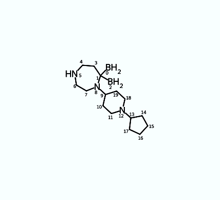 BC1(B)CCNCCN1C1CCN(C2CCCC2)CC1